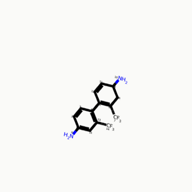 Nc1ccc(C2=C(C(F)(F)F)CC(N)C=C2)c(C(F)(F)F)c1